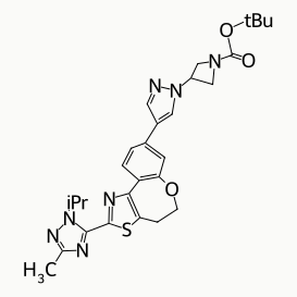 Cc1nc(-c2nc3c(s2)CCOc2cc(-c4cnn(C5CN(C(=O)OC(C)(C)C)C5)c4)ccc2-3)n(C(C)C)n1